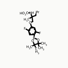 CC(C)CC(C)(COc1cc(F)c(B2OC(C)(C)C(C)(C)O2)cc1F)NC(=O)O